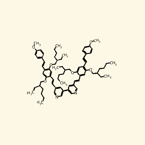 CCCCC(CC)COc1cc(C=Cc2cncc(-c3cncc(C=Cc4cc(OCC(CC)CCCC)c(C=Cc5ccc(OC)cc5)cc4OCC(CC)CCCC)c3)c2)c(OCC(CC)CCCC)cc1C=Cc1ccc(OC)cc1